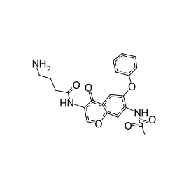 CS(=O)(=O)Nc1cc2occ(NC(=O)CCCN)c(=O)c2cc1Oc1ccccc1